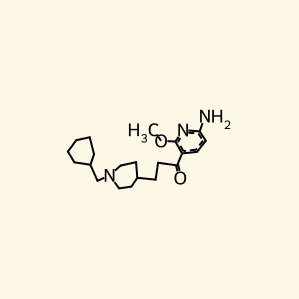 COc1nc(N)ccc1C(=O)CCC1CCN(CC2CCCCC2)CC1